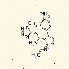 C=C/N=C1/SC=C(c2ccc(N)cc2)/C1=C(/N)Sc1nnnn1C